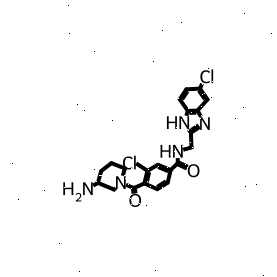 NC1CCCN(C(=O)c2ccc(C(=O)NCc3nc4cc(Cl)ccc4[nH]3)cc2Cl)C1